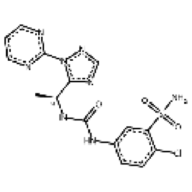 C[C@H](NC(=O)Nc1ccc(Cl)c(S(N)(=O)=O)c1)c1ncnn1-c1ncccn1